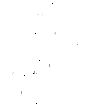 CCC(C)N([SiH2]CC[SiH2]N(C(C)CC)C(C)CC)C(C)CC